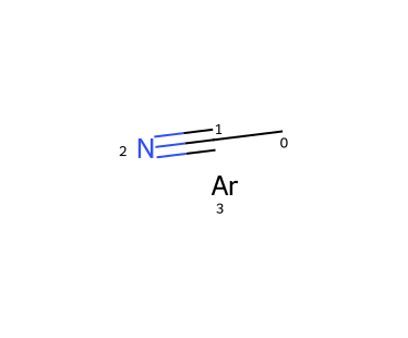 CC#N.[Ar]